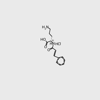 Cl.NCCC[C@H](NC(=O)C=Cc1ccccc1)C(=O)O